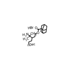 Br.CCCCCCCCCCCCC(CCOC(=O)C12CC3CC(CC(C3)C1)C2)C(C)(C)N